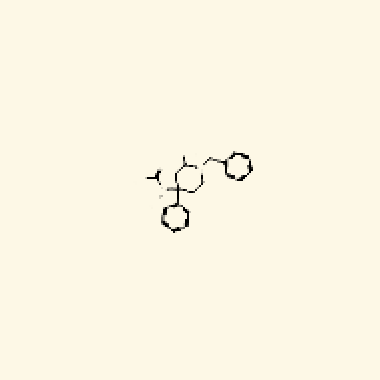 CC(=O)N(C)C1(c2ccccc2)CCN(Cc2ccccc2)C(C)C1